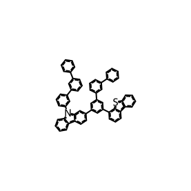 c1ccc(-c2cccc(-c3cc(-c4ccc5c6ccccc6n(-c6cccc(-c7cccc(-c8ccccc8)c7)c6)c5c4)cc(-c4cccc5c4sc4ccccc45)c3)c2)cc1